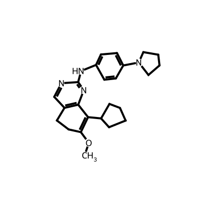 COC1=C(C2CCCC2)c2nc(Nc3ccc(N4CCCC4)cc3)ncc2CC1